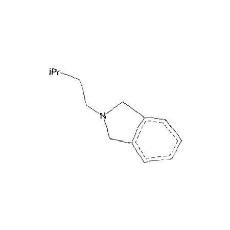 CC(C)CCN1Cc2ccccc2C1